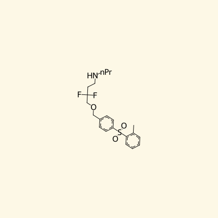 CCCNCCC(F)(F)COCc1ccc(S(=O)(=O)c2ccccc2C)cc1